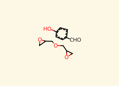 C(OCC1CO1)C1CO1.O=Cc1ccc(O)cc1